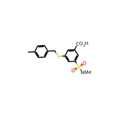 CNS(=O)(=O)c1cc(SCc2ccc(C)cc2)cc(C(=O)O)c1